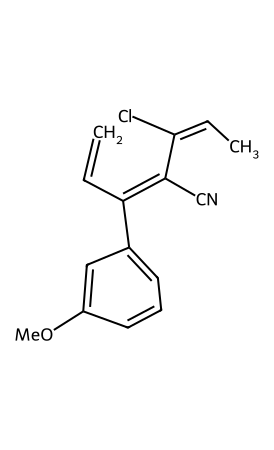 C=C/C(=C(C#N)\C(Cl)=C/C)c1cccc(OC)c1